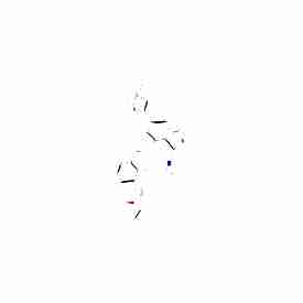 C=CC(=O)Nc1cccc(COc2cc(-c3cnn(C)c3)cn3ncc(C#N)c23)c1F